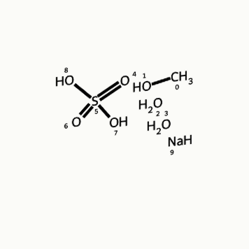 CO.O.O.O=S(=O)(O)O.[NaH]